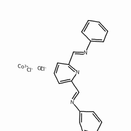 C(=Nc1ccccc1)c1cccc(C=Nc2ccccc2)n1.[Cl-].[Cl-].[Cl-].[Co+3]